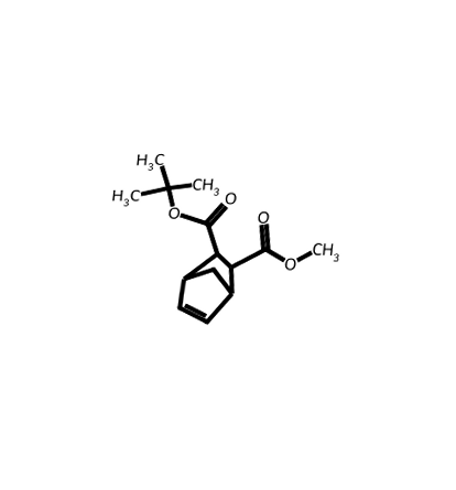 COC(=O)C1C2C=CC(C2)C1C(=O)OC(C)(C)C